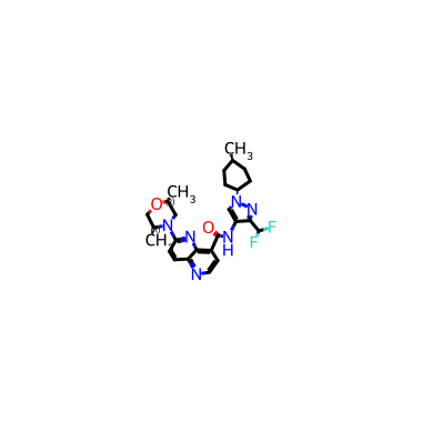 C[C@@H]1CN(c2ccc3nccc(C(=O)Nc4cn([C@H]5CC[C@H](C)CC5)nc4C(F)F)c3n2)[C@H](C)CO1